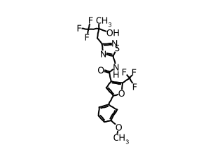 COc1cccc(-c2cc(C(=O)Nc3nc(CC(C)(O)C(F)(F)F)ns3)c(C(F)(F)F)o2)c1